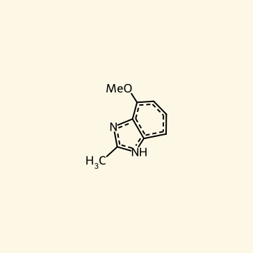 [CH2]Oc1cccc2[nH]c(C)nc12